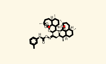 Cc1cccc(NC(=O)O/N=C(/C[C@H]2O[C@@H]3O[C@]4(C)CC[C@H]5[C@H](C)CC[C@@H]([C@H]2C)[C@@]35OO4)[C@H]2O[C@@H]3O[C@]4(C)CC[C@H]5[C@H](C)CC[C@@H]([C@H]2C)[C@@]35OO4)c1